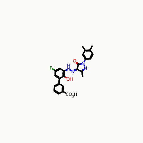 CC1=NN(c2ccc(C)c(C)c2)C(=O)C1=NNc1cc(F)cc(-c2cccc(C(=O)O)c2)c1O